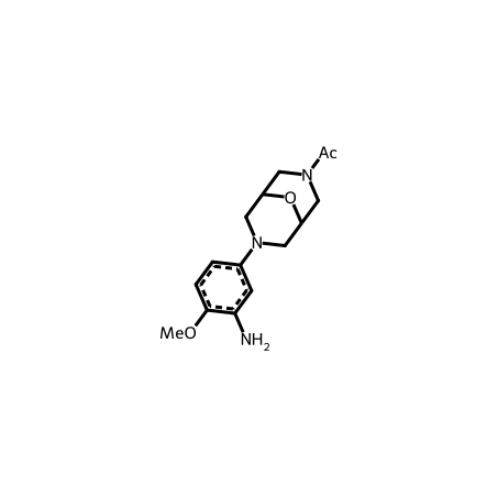 COc1ccc(N2CC3CN(C(C)=O)CC(C2)O3)cc1N